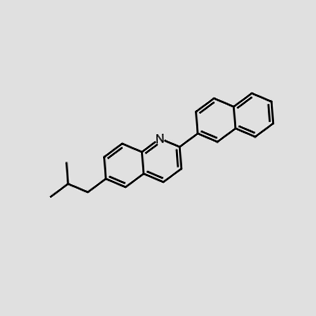 CC(C)Cc1ccc2nc(-c3ccc4ccccc4c3)ccc2c1